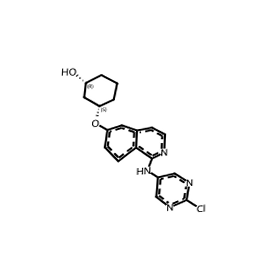 O[C@@H]1CCC[C@H](Oc2ccc3c(Nc4cnc(Cl)nc4)nccc3c2)C1